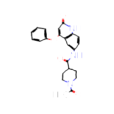 CC(=O)N1CCC(C(=O)Nc2ccc3[nH]c(=O)cc(Oc4ccccc4)c3c2)CC1